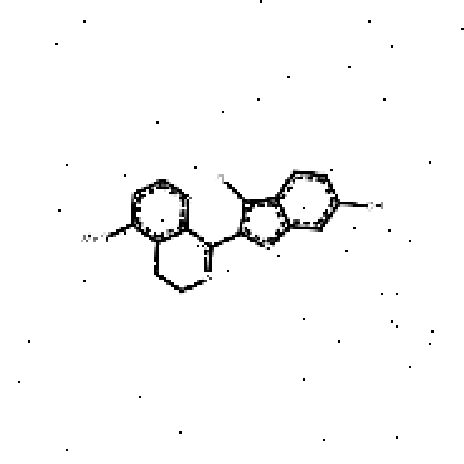 COc1cccc2c1CCN=C2c1sc2cc(O)ccc2c1Cl